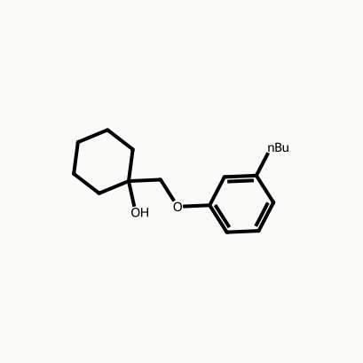 CCCCc1cccc(OCC2(O)CCCCC2)c1